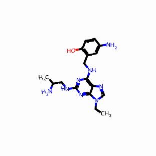 CCn1cnc2c(NCc3cc(N)ccc3O)nc(NCC(C)N)nc21